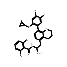 O=C(NC(Cc1ccc(-c2cc(F)c(F)cc2OC2CC2)c2c1CCCO2)C(=O)O)c1c(Cl)cccc1Cl